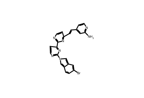 Nc1cc(/C=C/c2ccnc(-c3ccnc(-n4cc5ccc(Br)cc5c4)n3)n2)ccn1